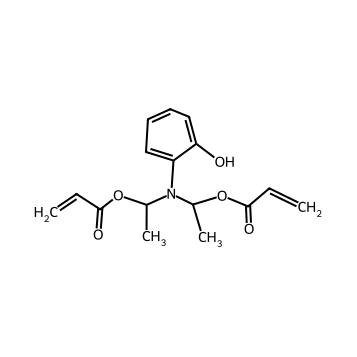 C=CC(=O)OC(C)N(c1ccccc1O)C(C)OC(=O)C=C